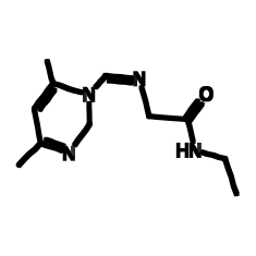 CCNC(=O)C/N=C\N1CN=C(C)C=C1C